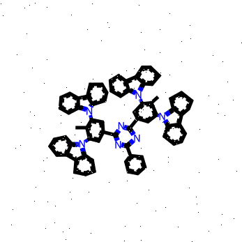 Cc1c(-n2c3ccccc3c3ccccc32)cc(-c2nc(-c3ccccc3)nc(-c3cc(-n4c5ccccc5c5ccccc54)c(C)c(-n4c5ccccc5c5ccccc54)c3)n2)cc1-n1c2ccccc2c2ccccc21